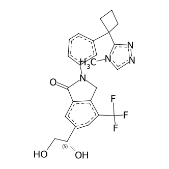 Cn1cnnc1C1(c2cccc(N3Cc4c(cc([C@H](O)CO)cc4C(F)(F)F)C3=O)c2)CCC1